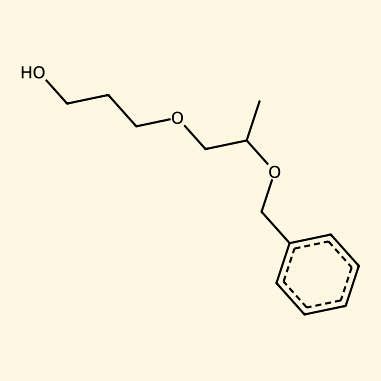 CC(COCCCO)OCc1ccccc1